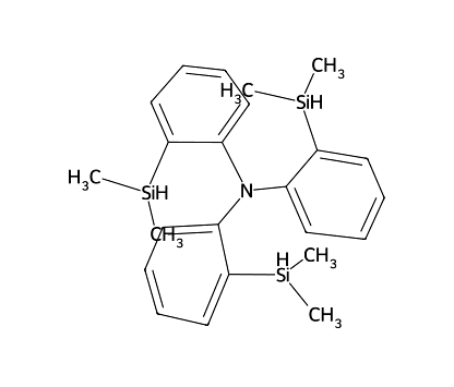 C[SiH](C)c1ccccc1N(c1ccccc1[SiH](C)C)c1ccccc1[SiH](C)C